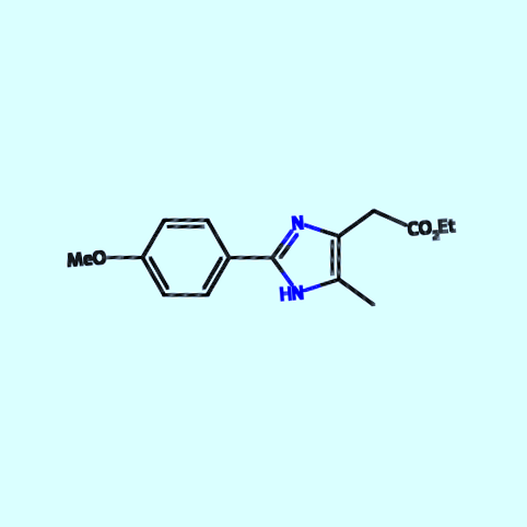 CCOC(=O)Cc1nc(-c2ccc(OC)cc2)[nH]c1C